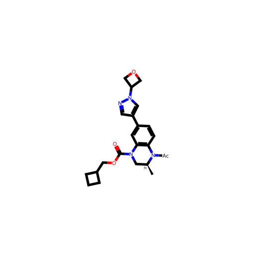 CC(=O)N1c2ccc(-c3cnn(C4COC4)c3)cc2N(C(=O)OCC2CCC2)C[C@@H]1C